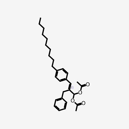 CCCCCCCCCCc1ccc(/C=C(\Cc2ccccc2)C(OC(C)=O)OC(C)=O)cc1